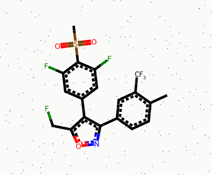 Cc1ccc(-c2noc(CF)c2-c2cc(F)c(S(C)(=O)=O)c(F)c2)cc1C(F)(F)F